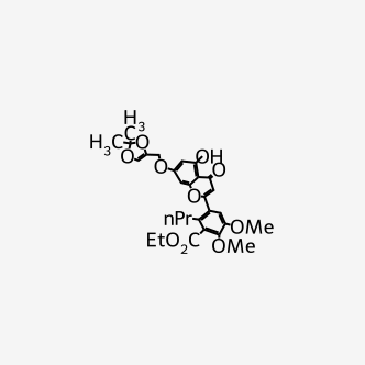 CCCc1c(-c2cc(=O)c3c(O)cc(OCC4=COC(C)(C)O4)cc3o2)cc(OC)c(OC)c1C(=O)OCC